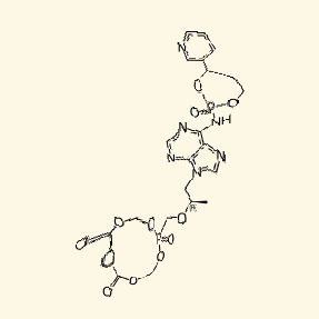 C[C@H](Cn1cnc2c(NP3(=O)OCCC(c4cccnc4)O3)ncnc21)OCP1(=O)OCOC(=O)OC(=O)OCO1